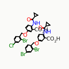 O=C(O)c1cc(OCc2ccc(Br)cc2Br)ccc1NC(=O)C1CC1.O=C(O)c1cc(OCc2ccc(Cl)cc2Br)ccc1NC(=O)C1CC1